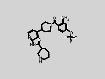 Nc1cc(OC(F)(F)F)ccc1C(=O)N1CCC(c2ccnc3[nH]c(C4CCCCNC4)nc23)CC1